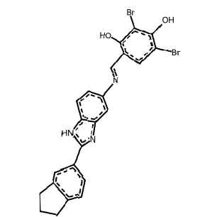 Oc1c(Br)cc(/C=N/c2ccc3[nH]c(-c4ccc5c(c4)CCC5)nc3c2)c(O)c1Br